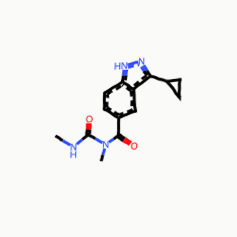 CNC(=O)N(C)C(=O)c1ccc2[nH]nc(C3CC3)c2c1